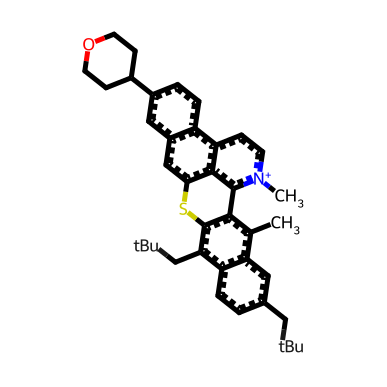 Cc1c2c(c(CC(C)(C)C)c3ccc(CC(C)(C)C)cc13)Sc1cc3cc(C4CCOCC4)ccc3c3cc[n+](C)c-2c13